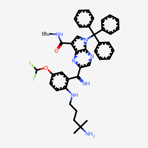 CC(C)(N)CCCNc1ccc(OC(F)F)cc1C(=N)c1cnc2c(n1)c(C(=O)NC(C)(C)C)cn2C(c1ccccc1)(c1ccccc1)c1ccccc1